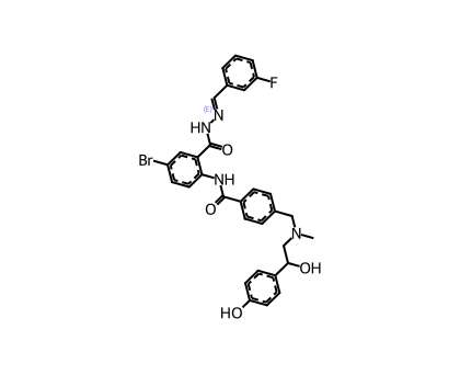 CN(Cc1ccc(C(=O)Nc2ccc(Br)cc2C(=O)N/N=C/c2cccc(F)c2)cc1)CC(O)c1ccc(O)cc1